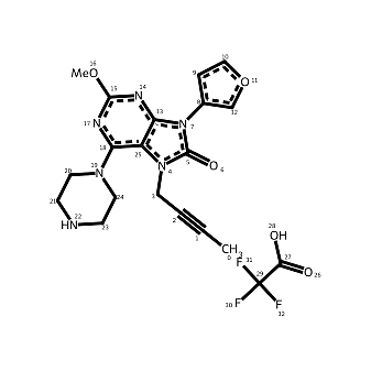 CC#CCn1c(=O)n(-c2ccoc2)c2nc(OC)nc(N3CCNCC3)c21.O=C(O)C(F)(F)F